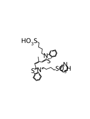 CC(=Cc1sc2ccccc2[n+]1CCCCS(=O)(=O)O)C=C1Sc2ccccc2N1CCCCS(=O)(=O)O.c1ccncc1